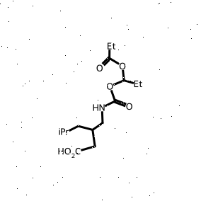 CCC(=O)OC(CC)OC(=O)NCC(CC(=O)O)CC(C)C